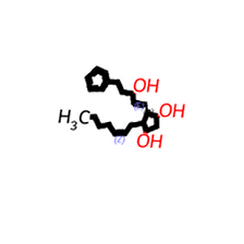 CCCC/C=C\CC1C(O)CC(O)[C@@H]1/C=C/C(O)CCc1ccccc1